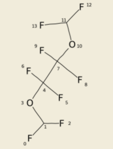 FC(F)OC(F)(F)C(F)(F)OC(F)F